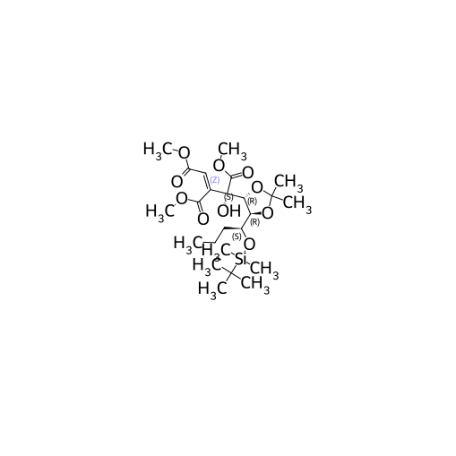 CCC[C@H](O[Si](C)(C)C(C)(C)C)[C@@H]1OC(C)(C)O[C@H]1[C@](O)(C(=O)OC)/C(=C/C(=O)OC)C(=O)OC